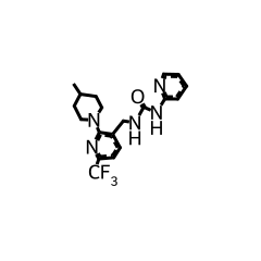 CC1CCN(c2nc(C(F)(F)F)ccc2CNC(=O)Nc2ccccn2)CC1